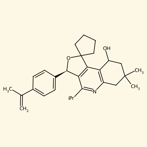 C=C(C)c1ccc([C@H]2OC3(CCCC3)c3c4c(nc(C(C)C)c32)CC(C)(C)CC4O)cc1